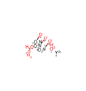 O.O.O.O=[N+]([O-])[O-].O=[N+]([O-])[O-].O=[N+]([O-])[O-].[Y+3]